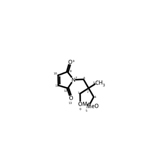 COCC(C)(COC)CN1C(=O)C=CC1=O